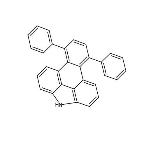 c1ccc(-c2ccc(-c3ccccc3)c3c4cccc5[nH]c6cccc(c23)c6c54)cc1